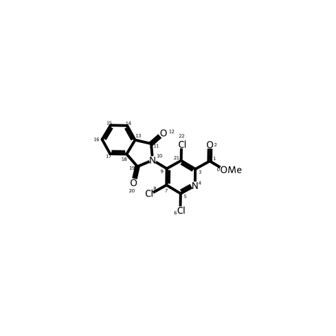 COC(=O)c1nc(Cl)c(Cl)c(N2C(=O)c3ccccc3C2=O)c1Cl